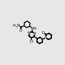 NC(=O)C1CCCC(Nc2ncc(Cl)c(-c3cccc(-n4ccccc4=O)c3)n2)C1